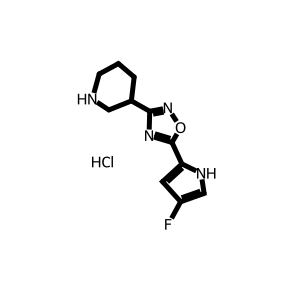 Cl.Fc1c[nH]c(-c2nc(C3CCCNC3)no2)c1